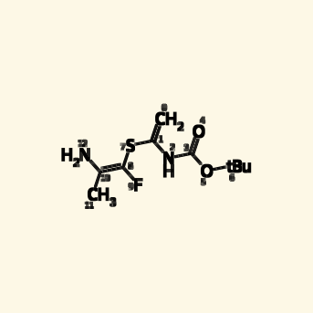 C=C(NC(=O)OC(C)(C)C)S/C(F)=C(/C)N